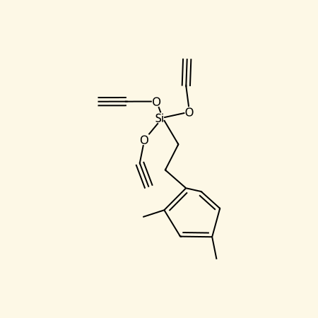 C#CO[Si](CCc1ccc(C)cc1C)(OC#C)OC#C